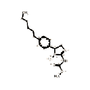 CCCCCCc1ccc(C2CN=C(NC(=O)OC)N2C)cc1